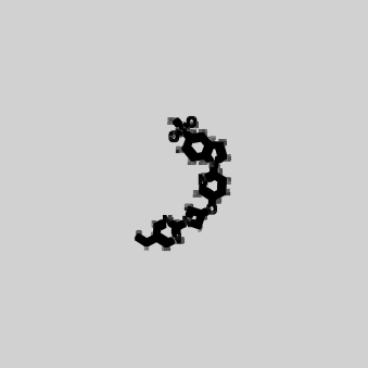 CCc1cnc(N2CC(Oc3ccc(-n4ccc5cc(S(C)(=O)=O)ccc54)nc3)C2)nc1